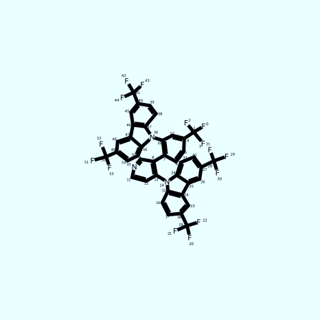 FC(F)(F)c1ccc(-c2cnccc2-n2c3ccc(C(F)(F)F)cc3c3cc(C(F)(F)F)ccc32)c(-n2c3ccc(C(F)(F)F)cc3c3cc(C(F)(F)F)ccc32)c1